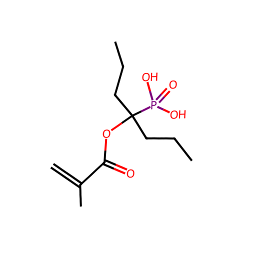 C=C(C)C(=O)OC(CCC)(CCC)P(=O)(O)O